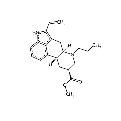 C=Cc1[nH]c2cccc3c2c1C[C@@H]1[C@@H]3C[C@H](C(=O)OC)CN1CCC